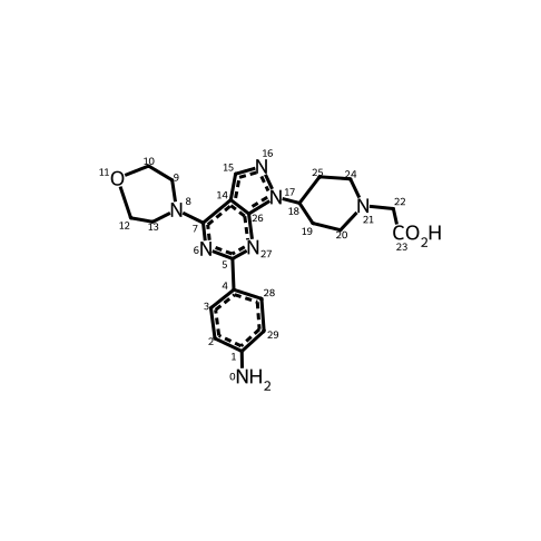 Nc1ccc(-c2nc(N3CCOCC3)c3cnn(C4CCN(CC(=O)O)CC4)c3n2)cc1